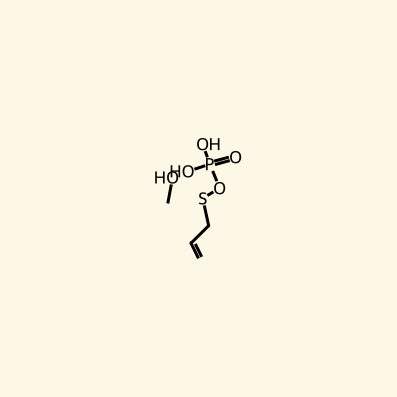 C=CCSOP(=O)(O)O.CO